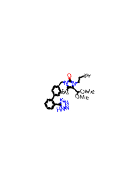 CCCCc1c(C(OC)OC)n(CCC(C)C)c(=O)n1Cc1ccc(-c2ccccc2-c2nnn[nH]2)cc1